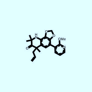 C=CCC1(C)C(=O)C(C)(C)Nc2c1cc(-c1cccnc1OC)c1c2OCO1